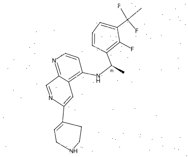 C[C@@H](Nc1ccnc2cnc(C3=CCNCC3)cc12)c1cccc(C(C)(F)F)c1F